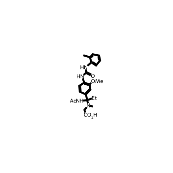 CCC(NC(C)=O)(c1ccc(NC(=O)Nc2ccccc2C)c(OC)c1)N(C)CC(=O)O